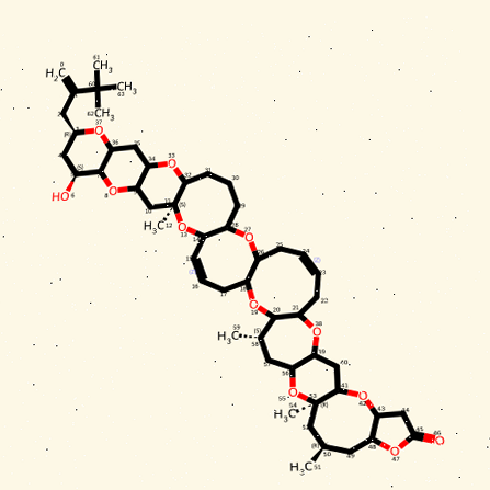 C=C(C[C@@H]1C[C@H](O)C2OC3C[C@]4(C)OC5/C=C\CC6OC7C(C/C=C\CC6OC5CCCC4OC3CC2O1)OC1CC2OC3CC(=O)OC3C[C@@H](C)C[C@@]2(C)OC1C[C@@H]7C)C(C)(C)C